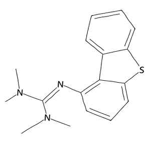 CN(C)C(=Nc1cccc2sc3ccccc3c12)N(C)C